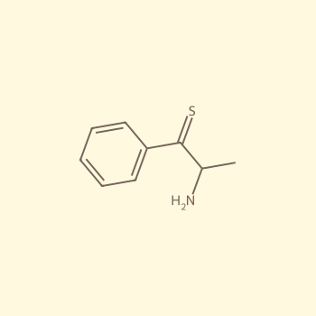 CC(N)C(=S)c1ccccc1